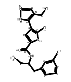 NC[C@H](Cc1cccc(F)c1)NC(=O)c1cc(-c2[nH]ncc2CCl)c(Cl)s1